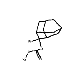 CC(C)C1(OC(=O)OS)C2CC3CC(C2)CC1C3